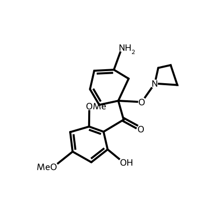 COc1cc(O)c(C(=O)C2(ON3CCC3)C=CC=C(N)C2)c(OC)c1